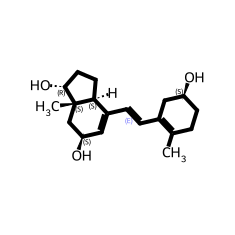 CC1=C(/C=C/C2=C[C@@H](O)C[C@]3(C)[C@H](O)CC[C@@H]23)C[C@@H](O)CC1